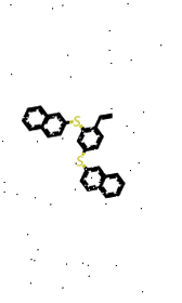 C=Cc1ccc(Sc2ccc3ccccc3c2)cc1Sc1ccc2ccccc2c1